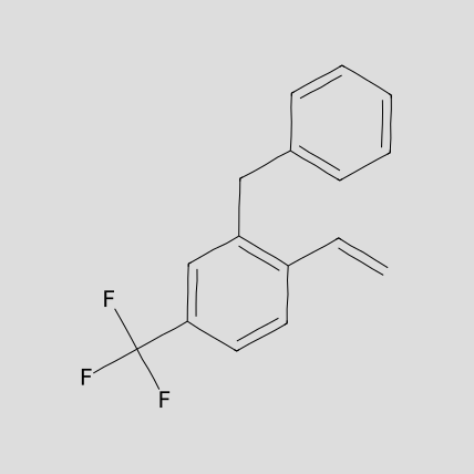 C=Cc1ccc(C(F)(F)F)cc1Cc1ccccc1